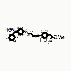 CO[C@@H](Cc1ccc(C#CCCCOc2ccc(/C(=N/O)c3ccccc3)cc2)cc1)C(=O)O